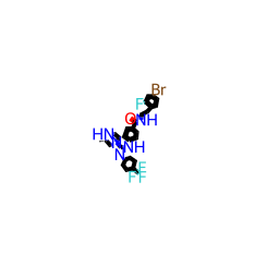 C[C@H]1CN(C(=NC2CCC(C(F)(F)F)CC2)Nc2ccc(C(=O)NCCc3ccc(Br)cc3F)cc2)CCN1